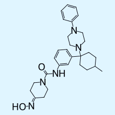 CC1CCC(c2cccc(NC(=O)N3CCC(=NO)CC3)c2)(N2CCN(c3ccccc3)CC2)CC1